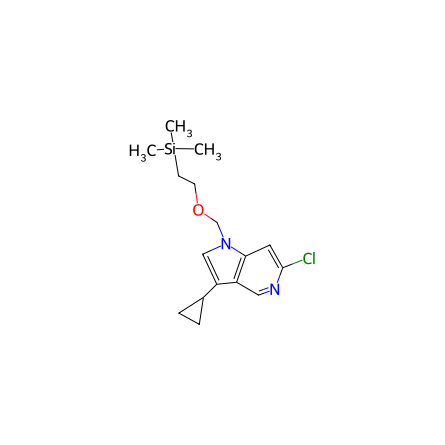 C[Si](C)(C)CCOCn1cc(C2CC2)c2cnc(Cl)cc21